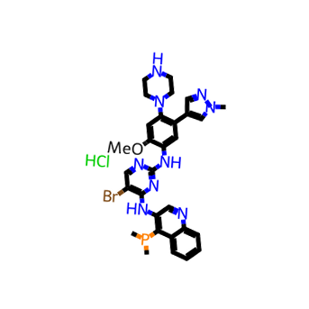 COc1cc(N2CCNCC2)c(-c2cnn(C)c2)cc1Nc1ncc(Br)c(Nc2cnc3ccccc3c2P(C)C)n1.Cl